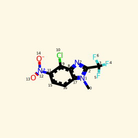 Cn1c(C(F)(F)F)nc2c(Cl)c([N+](=O)[O-])ccc21